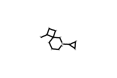 CC1CCC12CCCN(C1CC1)C2